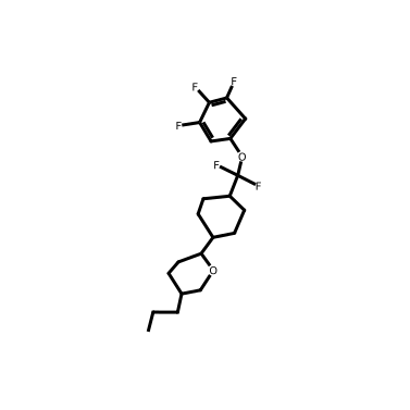 CCCC1CCC(C2CCC(C(F)(F)Oc3cc(F)c(F)c(F)c3)CC2)OC1